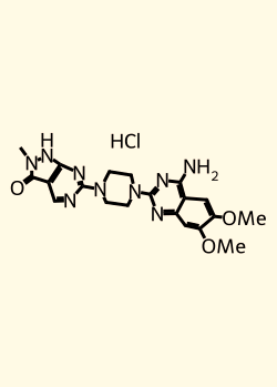 COc1cc2nc(N3CCN(c4ncc5c(=O)n(C)[nH]c5n4)CC3)nc(N)c2cc1OC.Cl